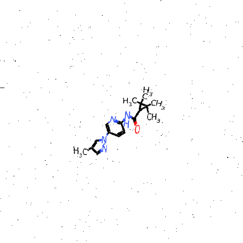 Cc1cnn(-c2ccc(NC(=O)C3C(C)(C)C3(C)C)nc2)c1